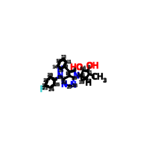 CC1C(O)=C(O)[C@@]2(N3C=C(c4ccccc4)C4C(Nc5ccc(F)cc5)=NC=NC43)C[C@@H]12